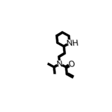 C=CC(=O)N(CCC1CCCCN1)C(C)C